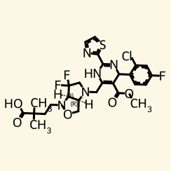 COC(=O)C1=C(CN2CC(F)(F)[C@H]3[C@@H]2CON3CCC(C)(C)C(=O)O)NC(c2nccs2)=NC1c1ccc(F)cc1Cl